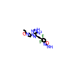 C=CC(=O)N1CC[C@H](n2nc(C#Cc3c(F)cc4oc(NC)nc4c3F)c3c(N)ncnc32)C1